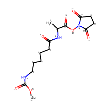 CC(NC(=O)CCCCCNC(=O)OC(C)(C)C)C(=O)ON1C(=O)CCC1=O